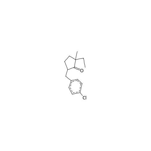 CCC1(C)CCC(Cc2ccc(Cl)cc2)C1=O